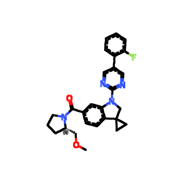 COC[C@@H]1CCCN1C(=O)c1ccc2c(c1)N(c1ncc(-c3ccccc3F)cn1)CC21CC1